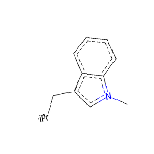 C[C](C)Cc1cn(C)c2ccccc12